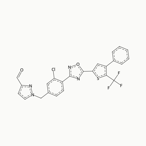 O=Cc1ccn(Cc2ccc(-c3noc(-c4cc(-c5ccccc5)c(C(F)(F)F)s4)n3)c(Cl)c2)n1